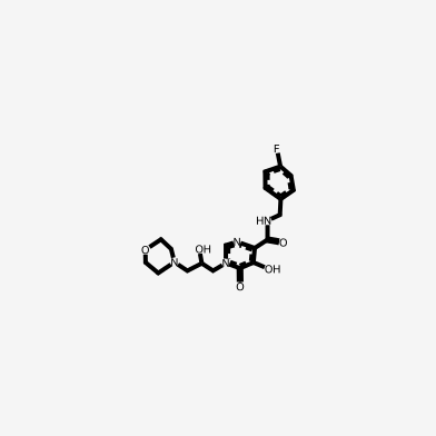 O=C(NCc1ccc(F)cc1)c1ncn(CC(O)CN2CCOCC2)c(=O)c1O